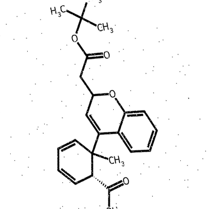 CC(C)(C)OC(=O)CC1C=C(C2(C)C=CC=C[C@H]2C(=O)O)c2ccccc2O1